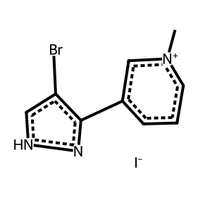 C[n+]1cccc(-c2n[nH]cc2Br)c1.[I-]